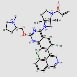 C=CC(=O)N1CC[C@@H]2[C@H]1CN2c1nc(OCC2CCCN2C)nc2cc(-c3cncc4cccc(Cl)c34)c(F)cc12